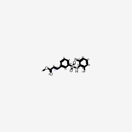 COC(=O)/C=C/c1cccc(S(=O)(=O)Nc2c(F)cccc2F)c1